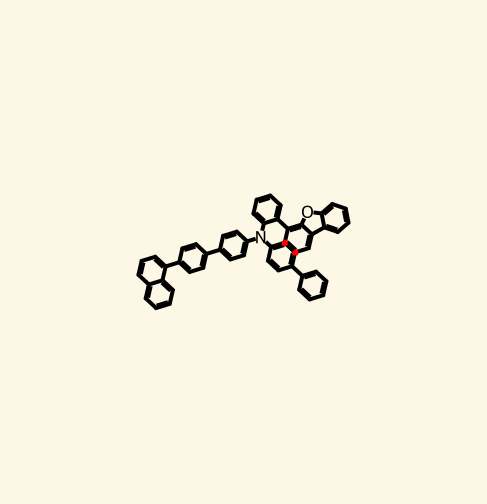 c1ccc(-c2ccc(N(c3ccc(-c4ccc(-c5cccc6ccccc56)cc4)cc3)c3ccccc3-c3cccc4c3oc3ccccc34)cc2)cc1